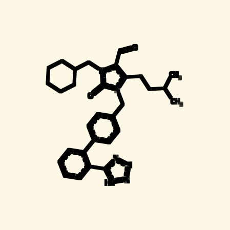 CC(C)CCc1c(C=O)n(CC2CCCCC2)c(=O)n1Cc1ccc(-c2ccccc2-c2nnn[nH]2)cc1